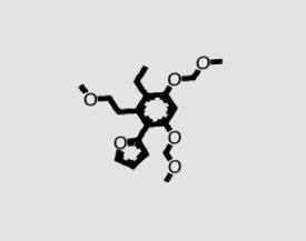 CCc1c(OCOC)cc(OCOC)c(-c2ccco2)c1CCOC